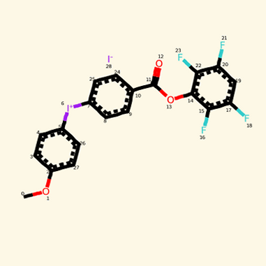 COc1ccc([I+]c2ccc(C(=O)Oc3c(F)c(F)cc(F)c3F)cc2)cc1.[I-]